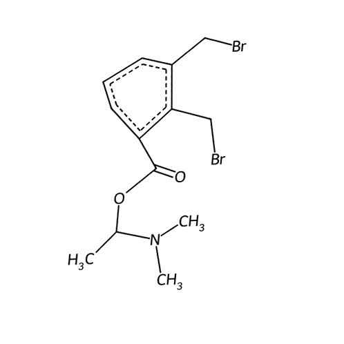 CC(OC(=O)c1cccc(CBr)c1CBr)N(C)C